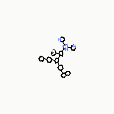 c1ccc(-c2ccc(-c3cc(-c4ccc(-c5cccc6ccccc56)cc4)cc(-c4ccc(-c5nc(-c6cccnc6)nc(-c6cccnc6)n5)cc4-c4ccccc4)c3)cc2)cc1